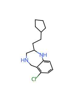 Clc1cccc2c1CNCC(CCC1CCCC1)N2